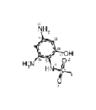 CS(=O)(=O)Nc1c(N)cc(N)cc1O